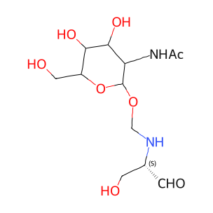 CC(=O)NC1C(OCN[C@H](C=O)CO)OC(CO)C(O)C1O